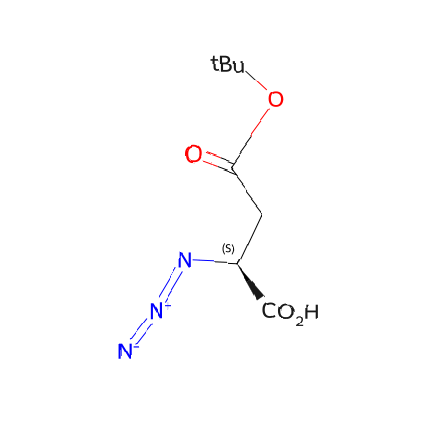 CC(C)(C)OC(=O)C[C@H](N=[N+]=[N-])C(=O)O